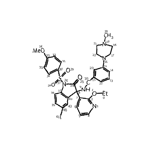 CCOc1ncccc1C1(NCc2cccc(N3CCN(C)CC3)c2)C(=O)N(S(=O)(=O)c2ccc(OC)cc2)c2ccc(I)cc21